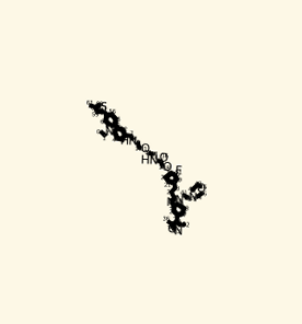 CCn1c2ccc(CNCCOCCNC(=O)COc3ccc(CCc4nc5cc(-c6c(C)noc6C)ccc5n4CCN4CCOCC4)cc3F)cc2c2ccc(-c3cc(C)cs3)cc21